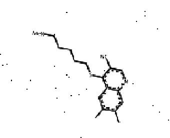 CNCCCCCSc1c(C#N)cnc2cc(C)c(C)cc12